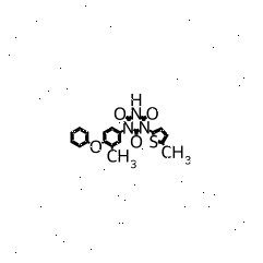 Cc1ccc(-n2c(=O)[nH]c(=O)n(-c3ccc(Oc4ccccc4)c(C)c3)c2=O)s1